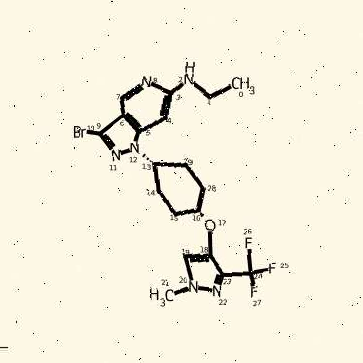 CCNc1cc2c(cn1)c(Br)nn2[C@H]1CC[C@@H](Oc2cn(C)nc2C(F)(F)F)CC1